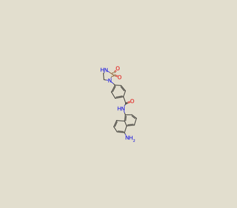 Nc1cccc2c(NC(=O)c3ccc(N4CCNS4(=O)=O)cc3)cccc12